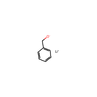 [Li+].[O-]Cc1ccccc1